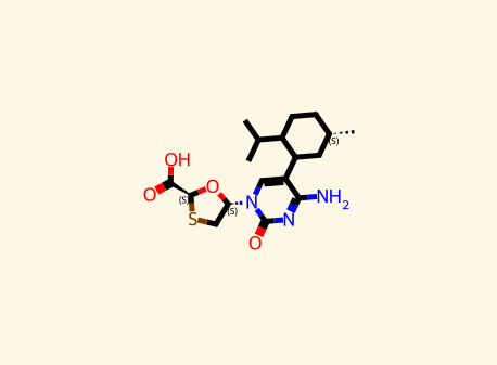 CC(C)C1CC[C@H](C)CC1c1cn([C@@H]2CS[C@@H](C(=O)O)O2)c(=O)nc1N